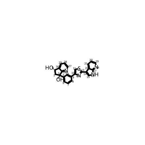 O[C@H]1C[C@@](O)(c2cccc(-c3csc(-c4c[nH]c5ncccc45)n3)c2)c2ncccc21